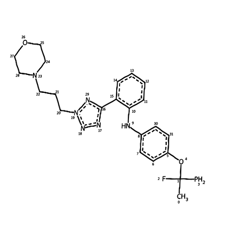 CC(F)(P)Oc1ccc(Nc2ccccc2-c2nnn(CCCN3CCOCC3)n2)cc1